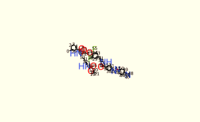 Cc1cccc(C(=O)N[C@@H](CCCCNC(=O)OC(C)(C)C)C(=O)COc2c(F)cc(CCNC(=O)c3ccc(/N=N/c4ccc(N(C)C)cc4)cc3)cc2F)c1